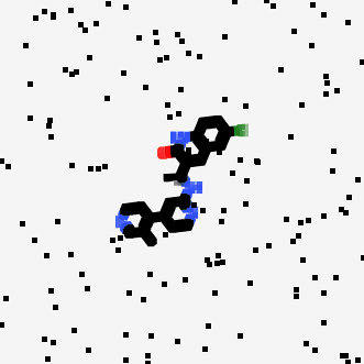 Cc1cnccc1-c1ccnc(N[C@@H](C)c2cc3cc(Cl)ccc3[nH]c2=O)c1